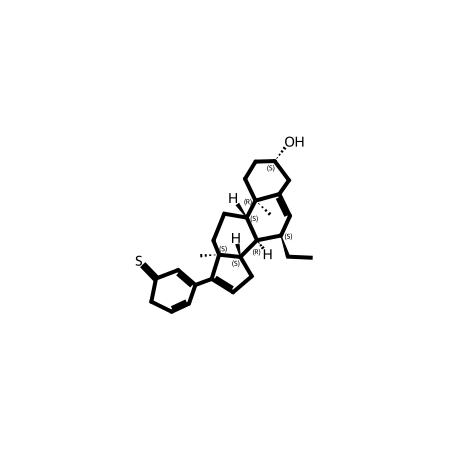 CC[C@@H]1C=C2C[C@@H](O)CC[C@]2(C)[C@H]2CC[C@]3(C)C(C4=CC(=S)CC=C4)=CC[C@H]3[C@H]12